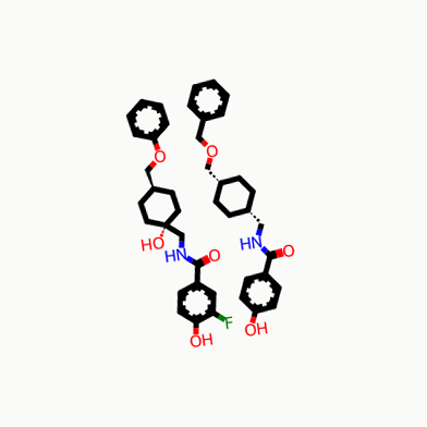 O=C(NC[C@H]1CC[C@@H](COCc2ccccc2)CC1)c1ccc(O)cc1.O=C(NC[C@]1(O)CC[C@H](COc2ccccc2)CC1)c1ccc(O)c(F)c1